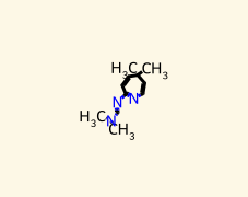 CN(C)/C=N/C1=NC=CC(C)(C)C=C1